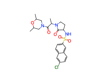 CC1CN(C(=O)C(C)N2CCC(NS(=O)(=O)c3ccc4cc(Cl)ccc4c3)C2=O)CC(C)O1